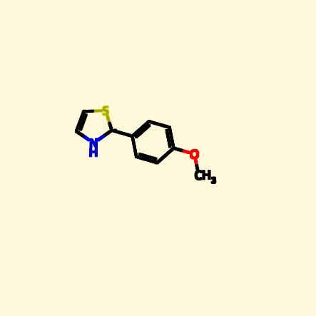 COc1ccc([C]2NC=CS2)cc1